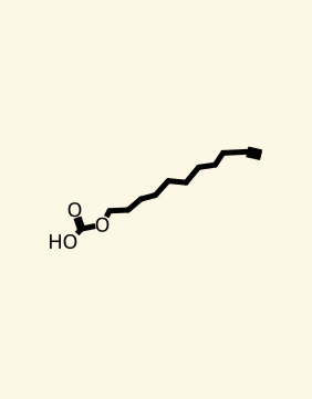 C#CCCCCCCCCCOC(=O)O